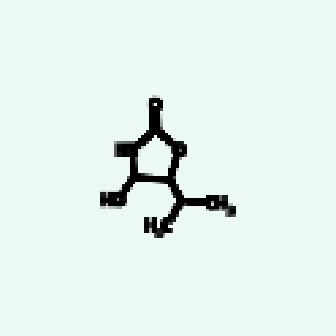 CC(C)C1OC(=O)NC1O